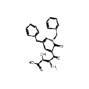 CC(C(=O)c1cc(Cc2ccccc2)cn(Cc2ccccc2)c1=O)=C(O)C(=O)O